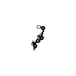 COc1c(OCCCc2cccc(Cl)c2)[c]ccc1N1CCC(c2noc3cc(F)ccc23)CC1